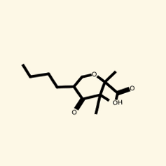 CCCCC1COC(C)(C(=O)O)C(C)(C)C1=O